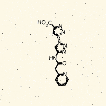 O=C(Cc1ccccn1)Nc1cn(-n2cc(C(=O)O)nn2)nn1